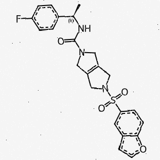 C[C@@H](NC(=O)N1CC2=C(C1)CN(S(=O)(=O)c1ccc3occc3c1)C2)c1ccc(F)cc1